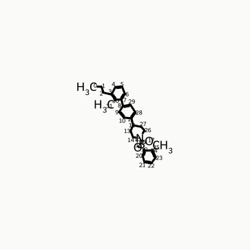 CCCc1cccc(-c2ccc(C3CCN(S(=O)(=O)c4ccccc4C)CC3)cc2)c1C